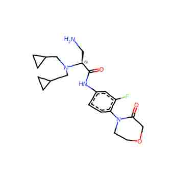 NC[C@@H](C(=O)Nc1ccc(N2CCOCC2=O)c(F)c1)N(CC1CC1)CC1CC1